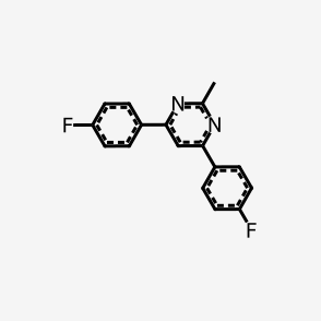 Cc1nc(-c2ccc(F)cc2)cc(-c2ccc(F)cc2)n1